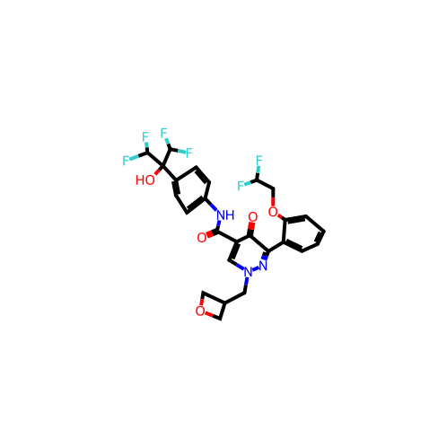 O=C(Nc1ccc(C(O)(C(F)F)C(F)F)cc1)c1cn(CC2COC2)nc(-c2ccccc2OCC(F)F)c1=O